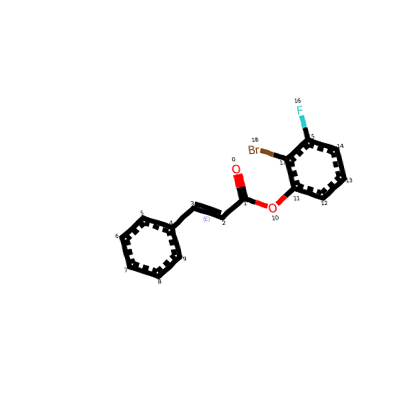 O=C(/C=C/c1ccccc1)Oc1cccc(F)c1Br